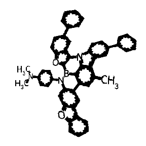 Cc1cc2c3c4c1c1cc(-c5ccccc5)ccc1n4-c1c(oc4ccc(-c5ccccc5)cc14)B3N(c1ccc(N(C)C)cc1)c1cc3oc4ccccc4c3cc1-2